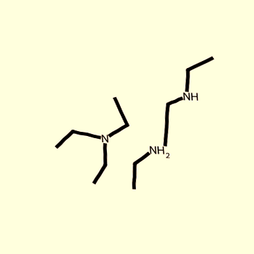 CCN.CCN(CC)CC.CCNCC